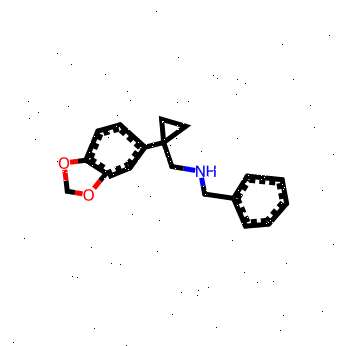 c1ccc(CNCC2(c3ccc4c(c3)OCO4)CC2)cc1